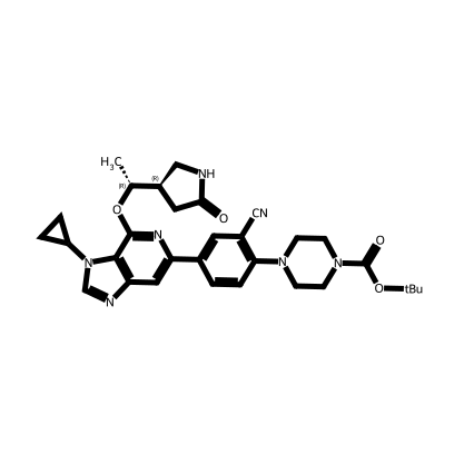 C[C@@H](Oc1nc(-c2ccc(N3CCN(C(=O)OC(C)(C)C)CC3)c(C#N)c2)cc2ncn(C3CC3)c12)[C@H]1CNC(=O)C1